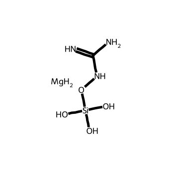 N=C(N)NO[Si](O)(O)O.[MgH2]